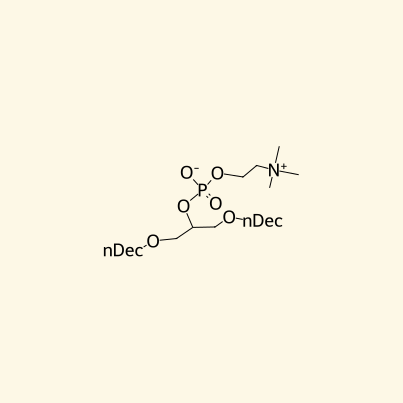 CCCCCCCCCCOCC(COCCCCCCCCCC)OP(=O)([O-])OCC[N+](C)(C)C